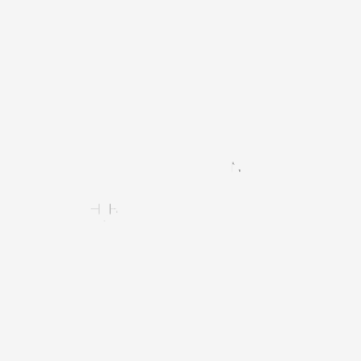 Bc1ccc(N(C)C(C)C)cc1C